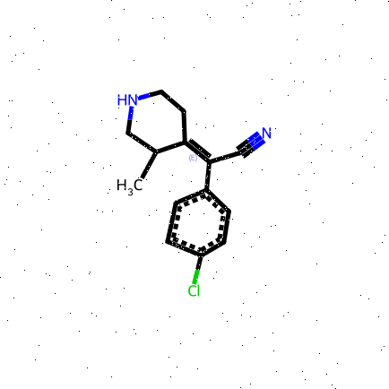 CC1CNCC/C1=C(\C#N)c1ccc(Cl)cc1